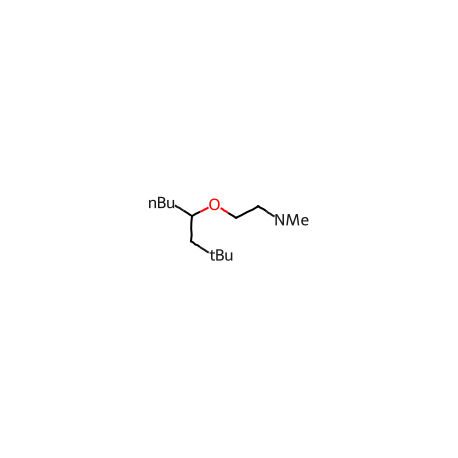 CCCCC(CC(C)(C)C)OCCNC